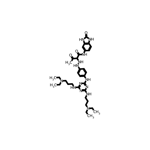 CCN(CC)CCCNc1nc(NCCCN(CC)CC)nc(Nc2ccc(NNC(C(C)=O)C(=O)Nc3ccc4[nH]c(=O)[nH]c4c3)cc2)n1